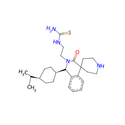 CC(C)[C@H]1CC[C@@H](C2c3ccccc3C3(CCNCC3)C(=O)N2CCNC(N)=S)CC1